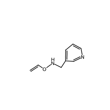 C=CONCc1cccnc1